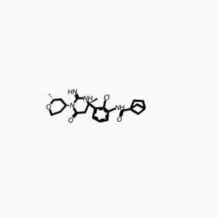 C[C@@H]1C[C@H](N2C(=N)N[C@](C)(c3cccc(NC(=O)C45CCC(C4)C5)c3Cl)CC2=O)CCO1